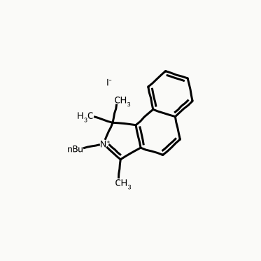 CCCC[N+]1=C(C)c2ccc3ccccc3c2C1(C)C.[I-]